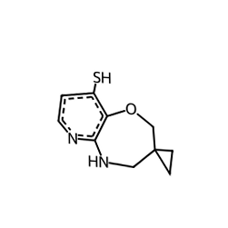 Sc1ccnc2c1OCC1(CC1)CN2